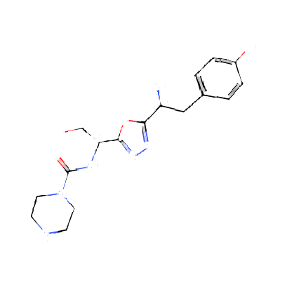 N[C@@H](Cc1ccc(O)cc1)c1nnc([C@H](CO)NC(=O)N2CCNCC2)o1